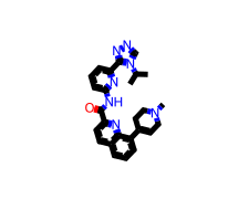 CC(C)n1cnnc1-c1cccc(NC(=O)c2ccc3cccc(C4=CCN(C)CC4)c3n2)n1